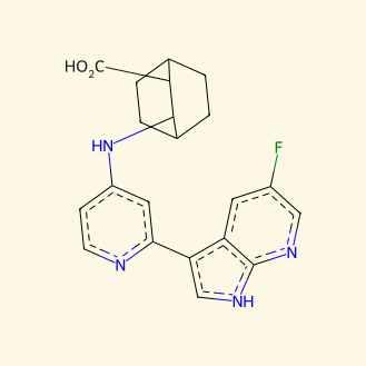 O=C(O)C1C2CCC(CC2)C1Nc1ccnc(-c2c[nH]c3ncc(F)cc23)c1